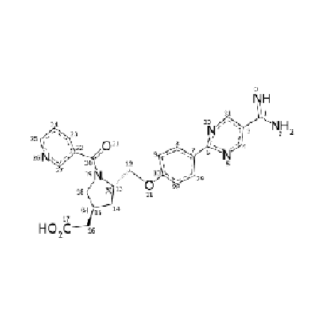 N=C(N)c1cnc(-c2ccc(OC[C@@H]3C[C@@H](CC(=O)O)CN3C(=O)c3cccnc3)cc2)nc1